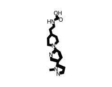 Cn1nccc1-c1ccc(N2CCC(CCNC(=O)O)CC2)nc1